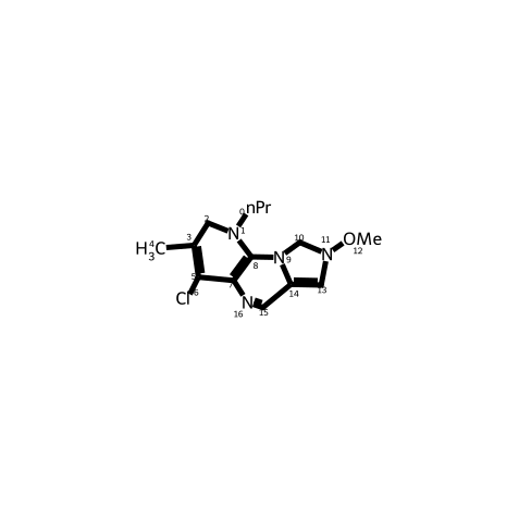 CCCN1CC(C)=C(Cl)C2=C1N1CN(OC)C=C1C=N2